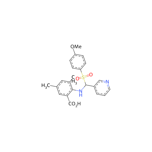 COc1ccc(S(=O)(=O)C(Nc2c(C)cc(C)cc2C(=O)O)c2cccnc2)cc1